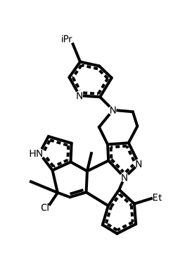 CCc1cccc2c1-n1nc3c(c1C1(C)C2=CC(C)(Cl)c2[nH]ccc21)CN(c1ccc(C(C)C)cn1)CC3